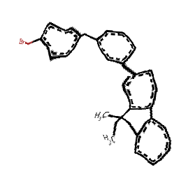 CC1(C)c2ccccc2-c2ccc(-c3cccc(-c4ccc(Br)cc4)c3)cc21